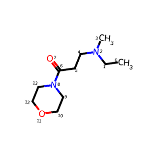 CCN(C)CCC(=O)N1CCOCC1